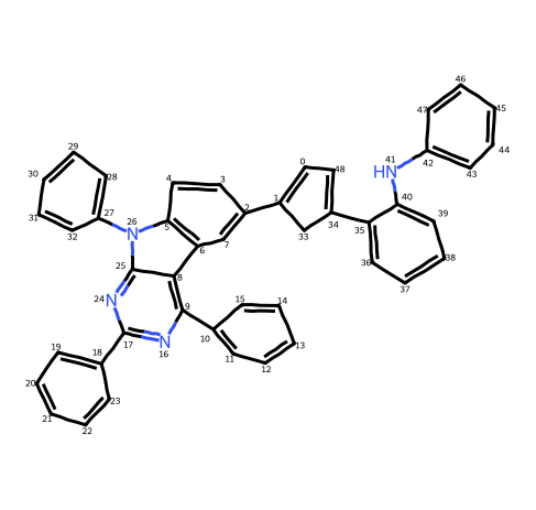 C1=C(c2ccc3c(c2)c2c(-c4ccccc4)nc(-c4ccccc4)nc2n3-c2ccccc2)CC(c2ccccc2Nc2ccccc2)=C1